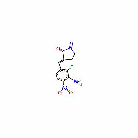 Nc1c([N+](=O)[O-])ccc(/C=C2\CCNC2=O)c1F